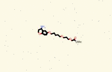 COC(=O)COCCCOCCCCCOc1ccc2c(c1)C(N)CCO2